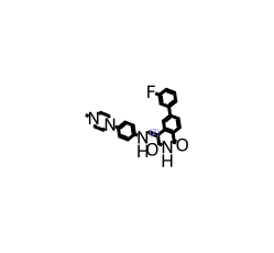 CN1CCN(c2ccc(N/C=C3\C(=O)NC(=O)c4ccc(-c5cccc(F)c5)cc43)cc2)CC1